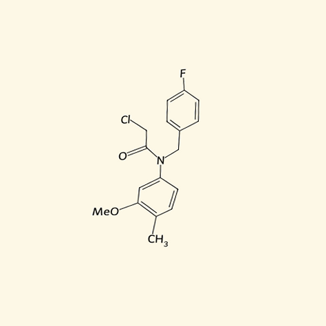 COc1cc(N(Cc2ccc(F)cc2)C(=O)CCl)ccc1C